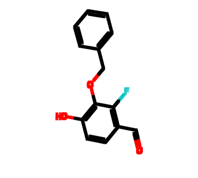 O=Cc1ccc(O)c(OCc2ccccc2)c1F